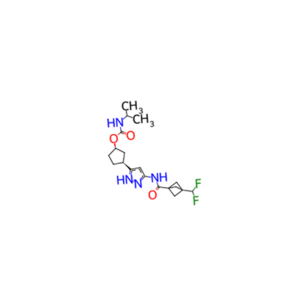 CC(C)NC(=O)O[C@@H]1CC[C@H](c2cc(NC(=O)C34CC(C(F)F)(C3)C4)n[nH]2)C1